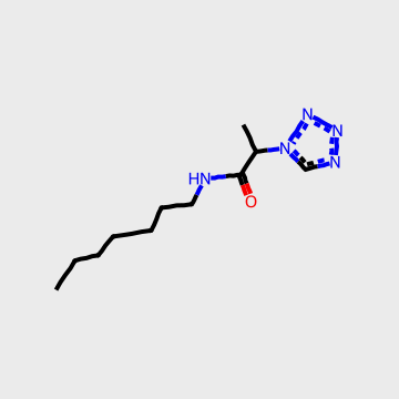 CCCCCCCNC(=O)C(C)n1cnnn1